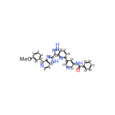 COc1cccc(-c2nccc3[nH]c(-c4n[nH]c5ccc(-c6cncc(NC(=O)c7ccccc7)c6)nc45)nc23)c1